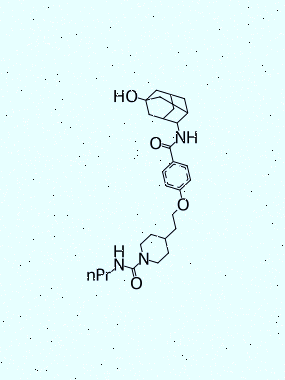 CCCNC(=O)N1CCC(CCOc2ccc(C(=O)NC3C4CC5CC3CC(O)(C5)C4)cc2)CC1